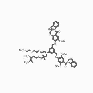 CNc1cc(OCc2cc(COc3cc4c(cc3OC)C(=O)N3c5ccccc5C[C@H]3C=N4)cc(N(CCOCCOCCOC)CC(C)(C)SSCCC(C(N)=O)S(=O)(=O)O)c2)c(OC)cc1C(=O)N1CCc2ccccc21